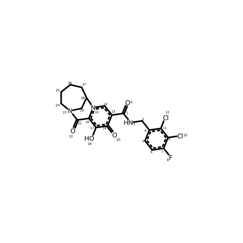 O=C(NCc1ccc(F)c(Cl)c1Cl)c1cn2c(c(O)c1=O)C(=O)N1CCCCC2C1